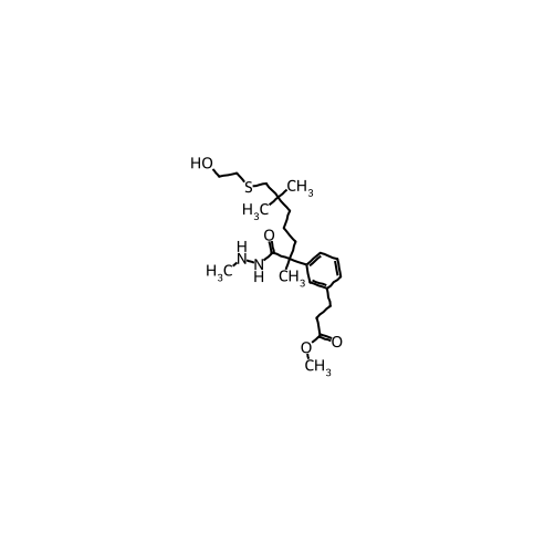 CNNC(=O)C(C)(CCCC(C)(C)CSCCO)c1cccc(CCC(=O)OC)c1